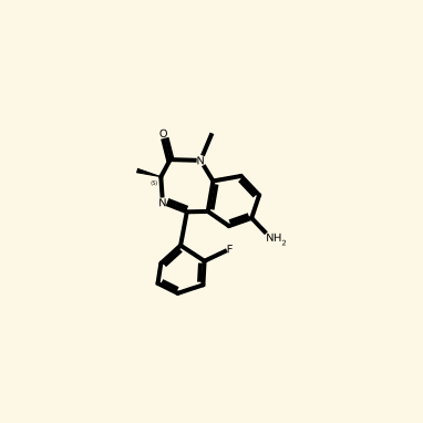 C[C@@H]1N=C(c2ccccc2F)c2cc(N)ccc2N(C)C1=O